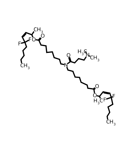 CCCCCC(F)(F)/C=C\C(C)OC(=O)CCCCCCCN(CCCCCCCC(=O)OC(C)/C=C\C(F)(F)CCCCC)C(=O)CCCN(C)C